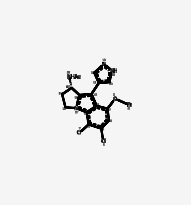 CCOc1cc(Cl)c(Cl)c2c1c(-c1cn[nH]c1)c1n2CC[C@@H]1NC(C)=O